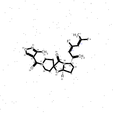 C=C(/C=C(F)\C=C(/C)F)[C@@H]1CC[C@H]2OC3(CCN(C(=O)c4conc4C)CC3)C(=O)N21